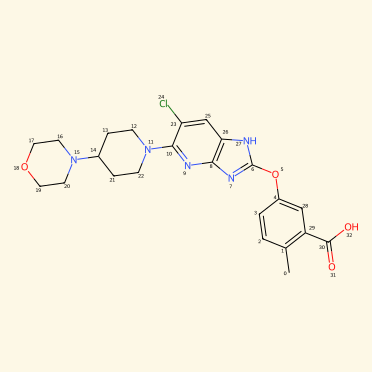 Cc1ccc(Oc2nc3nc(N4CCC(N5CCOCC5)CC4)c(Cl)cc3[nH]2)cc1C(=O)O